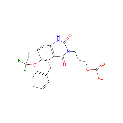 O=C(O)OCCCn1c(=O)[nH]c2ccc(OC(F)(F)F)c(Cc3ccccc3)c2c1=O